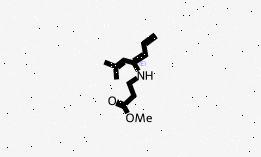 C=C/C=C(\C=C(C)C)NCCC(=O)OC